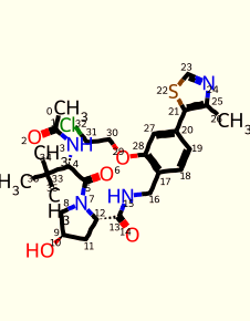 CC(=O)N[C@H](C(=O)N1C[C@H](O)C[C@H]1C(=O)NCc1ccc(-c2scnc2C)cc1OCCCl)C(C)(C)C